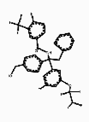 O=C(NC(Cc1ccccc1)(c1ccc(CO)cc1)c1cc(F)cc(OC(F)(F)C(F)F)c1)c1ccc(F)c(C(F)(F)F)c1